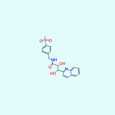 CS(=O)(=O)c1ccc(CNC(=O)C(O)C(O)c2ccc3ccccc3n2)cc1